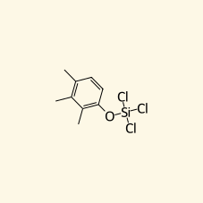 Cc1ccc(O[Si](Cl)(Cl)Cl)c(C)c1C